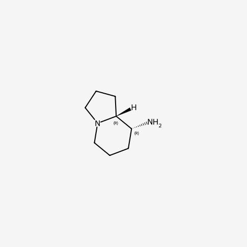 N[C@@H]1CCCN2CCC[C@H]12